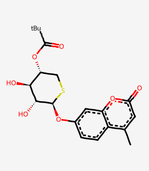 Cc1cc(=O)oc2cc(O[C@@H]3SC[C@@H](OC(=O)C(C)(C)C)[C@H](O)[C@H]3O)ccc12